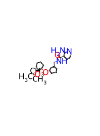 CC(C)(C)Oc1ccccc1Oc1cccc(CNC(=O)c2cccnc2N)c1